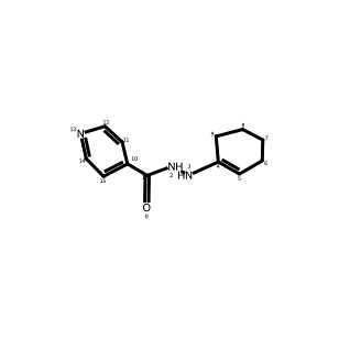 O=C(NNC1=CCCCC1)c1ccncc1